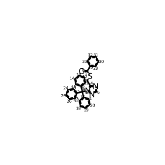 O=C(SCc1ncnn1C(c1ccccc1)(c1ccccc1)c1ccccc1)c1ccccc1